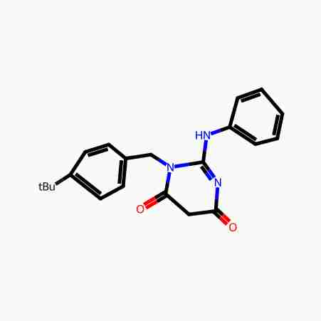 CC(C)(C)c1ccc(CN2C(=O)CC(=O)N=C2Nc2ccccc2)cc1